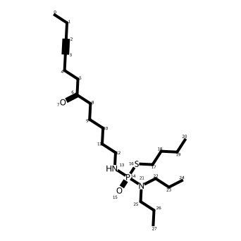 CCC#CCCC(=O)CCCCCNP(=O)(SCCCC)N(CCC)CCC